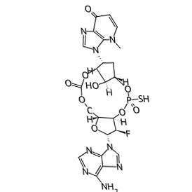 Cn1ccc(=O)c2ncn([C@@H]3C[C@@H]4OP(=O)(S)O[C@H]5[C@@H](F)[C@H](n6cnc7c(N)ncnc76)O[C@@H]5COC(=O)O[C@@H]3[C@@H]4O)c21